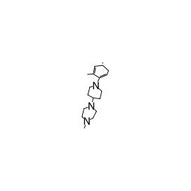 CC1=C[CH]CC=C1N1CCC(N2CCN(C)CC2)CC1